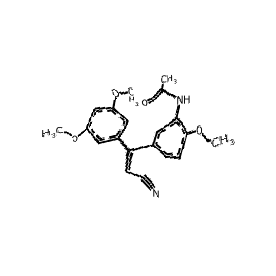 COc1cc(OC)cc(C(=CC#N)c2ccc(OC)c(NC(C)=O)c2)c1